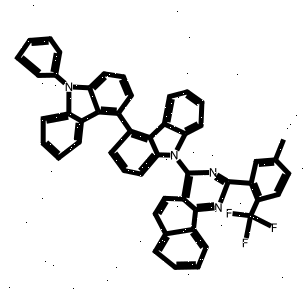 Cc1ccc(C(F)(F)F)c(-c2nc(-n3c4ccccc4c4c(-c5cccc6c5c5ccccc5n6-c5ccccc5)cccc43)c3ccc4ccccc4c3n2)c1